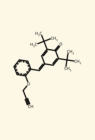 C#CCOc1ccccc1C=C1C=C(C(C)(C)C)C(=O)C(C(C)(C)C)=C1